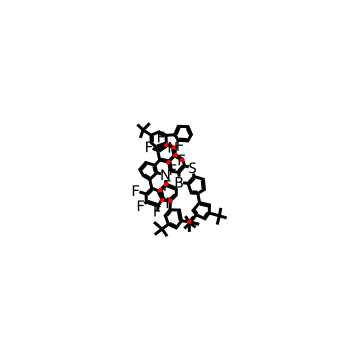 CC(C)(C)c1cc(-c2ccc3c(c2)B2c4cc(-c5cc(C(C)(C)C)cc(C(C)(C)C)c5)ccc4N(c4c(-c5c(F)c(F)c(F)c(F)c5F)cccc4-c4c(F)c(F)c(F)c(F)c4F)c4cc(-n5c6ccccc6c6cc(C(C)(C)C)ccc65)cc(c42)S3)cc(C(C)(C)C)c1